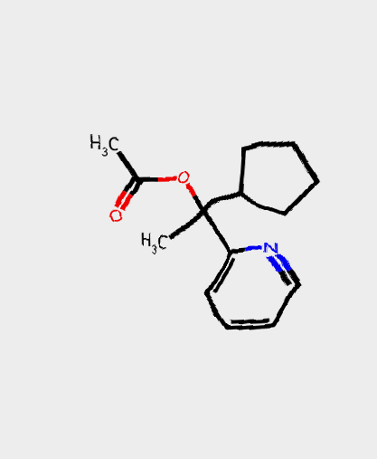 CC(=O)OC(C)(c1ccccn1)C1CCCC1